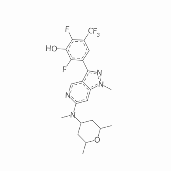 CC1CC(N(C)c2cc3c(cn2)c(-c2cc(C(F)(F)F)c(F)c(O)c2F)nn3C)CC(C)O1